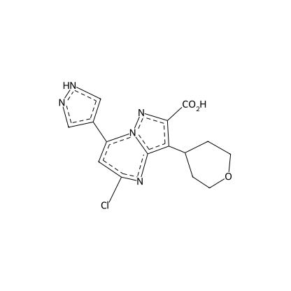 O=C(O)c1nn2c(-c3cn[nH]c3)cc(Cl)nc2c1C1CCOCC1